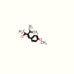 COc1ccc(/C=C(/C(C)=O)C(C)C)cc1